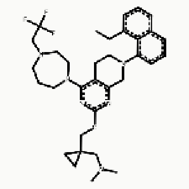 CCc1cccc2cccc(N3CCc4c(nc(OCC5(CN(C)C)CC5)nc4N4CCCN(CC(F)(F)F)CC4)C3)c12